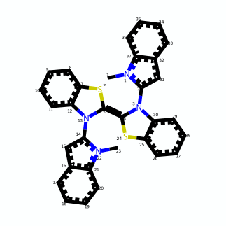 Cn1c(N2/C(=C3\Sc4ccccc4N3c3cc4ccccc4n3C)Sc3ccccc32)cc2ccccc21